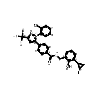 C[C@@H]1CC1c1cccc(COC(=O)c2ccc(-c3cc(C(F)(F)F)nn3-c3ccccc3Cl)cc2)c1O